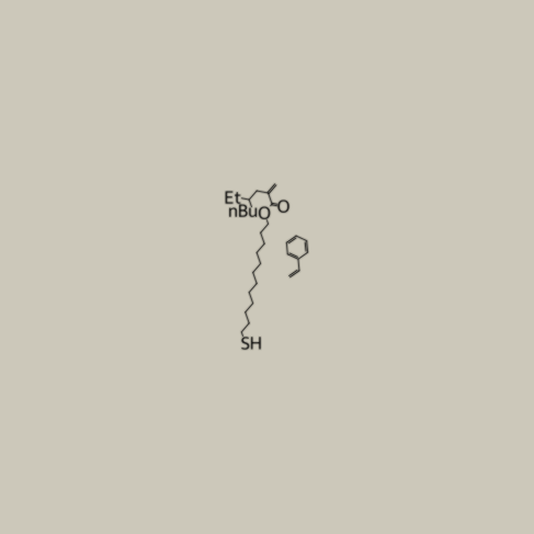 C=C(CC(CC)CCCC)C(=O)OCCCCCCCCCCCCS.C=Cc1ccccc1